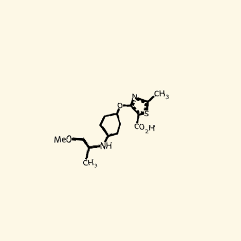 COCC(C)NC1CCC(Oc2nc(C)sc2C(=O)O)CC1